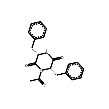 CC(=O)N1C(=O)[C@H](Cc2ccccc2)NC(=O)[C@@H]1Cc1ccccc1